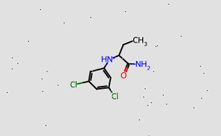 CCC(Nc1cc(Cl)cc(Cl)c1)C(N)=O